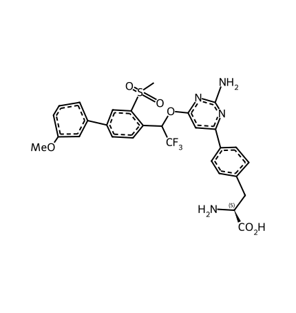 COc1cccc(-c2ccc(C(Oc3cc(-c4ccc(C[C@H](N)C(=O)O)cc4)nc(N)n3)C(F)(F)F)c(S(C)(=O)=O)c2)c1